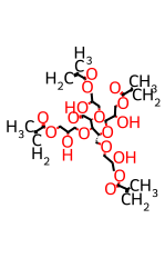 C=C(C)C(=O)OCC(O)COC[C@@H](OCC(O)COC(=O)C(=C)C)[C@@H](OCC(O)COC(=O)C(=C)C)[C@H](C=O)OCC(O)COC(=O)C(=C)C